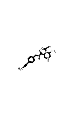 CC#Cc1ccc(CNC(=O)C2CNCC(C)N2C(=O)C(C)C)cc1